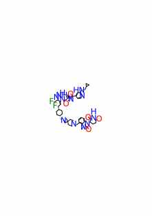 Cn1c(=O)n(C2CCC(=O)NC2=O)c2cccc(CN3CCC4(CC3)CN(C[C@H]3CC[C@H](C/C=C(NC(=O)c5coc(-c6ccnc(NCC7CC7)c6)n5)\C(=N/N)C(F)F)CC3)C4)c21